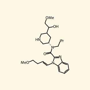 COCC/C=C/n1c(C(=O)N(CC(C)C)[C@@H]2CNCC(C(O)COC)C2)nc2ccccc21